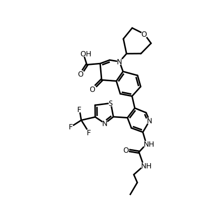 CCCNC(=O)Nc1cc(-c2nc(C(F)(F)F)cs2)c(-c2ccc3c(c2)c(=O)c(C(=O)O)cn3C2CCOCC2)cn1